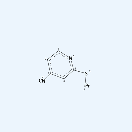 [C-]#[N+]c1ccnc(SC(C)C)c1